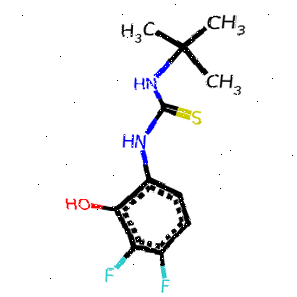 CC(C)(C)NC(=S)Nc1ccc(F)c(F)c1O